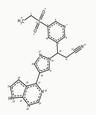 CCS(=O)(=O)c1cncc(C(CC#N)n2cc(-c3ncnc4[nH]ccc34)cn2)c1